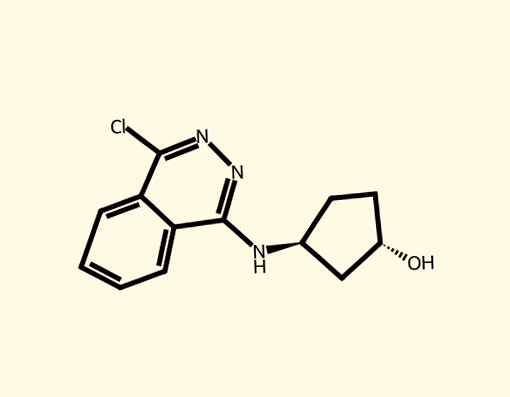 O[C@H]1CC[C@H](Nc2nnc(Cl)c3ccccc23)C1